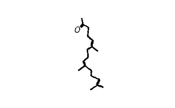 CC(=O)CC/C=C(/C)CCC=C(C)CCC=C(C)C